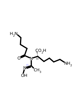 C/C(=N\O)N(C(=O)CCCN)[C@@H](CCCCN)C(=O)O